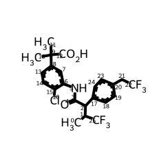 CC(C(C(=O)Nc1cc(C(C)(C)C(=O)O)ccc1Cl)c1ccc(CC(F)(F)F)cc1)C(F)(F)F